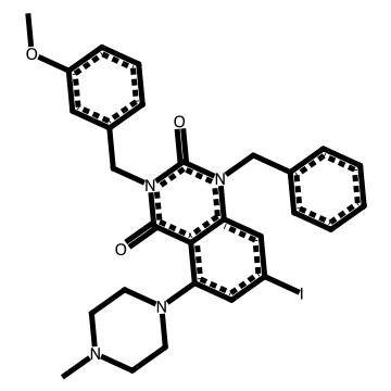 COc1cccc(Cn2c(=O)c3c(N4CCN(C)CC4)cc(I)cc3n(Cc3ccccc3)c2=O)c1